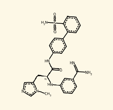 Cn1cncc1C[C@H](Nc1cccc(C(=N)N)c1)C(=O)Nc1ccc(-c2ccccc2S(N)(=O)=O)cc1